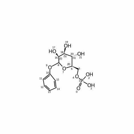 O=P(O)(O)OC[C@H]1OC(Oc2ccccc2)[C@@H](O)[C@@H](O)[C@@H]1O